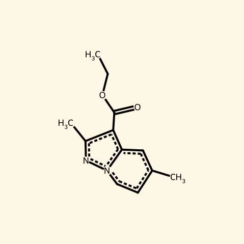 CCOC(=O)c1c(C)nn2ccc(C)cc12